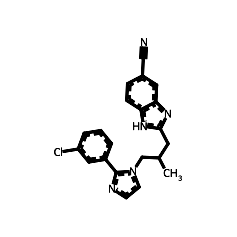 CC(Cc1nc2cc(C#N)ccc2[nH]1)Cn1ccnc1-c1cccc(Cl)c1